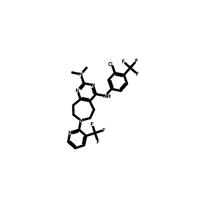 CN(C)c1nc2c(c(Nc3ccc(C(F)(F)F)c(Cl)c3)n1)CCN(c1ncccc1C(F)(F)F)CC2